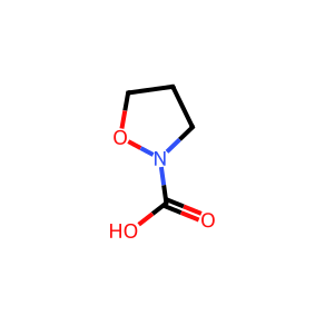 O=C(O)N1CCCO1